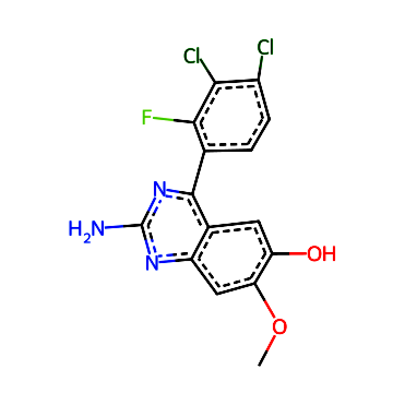 COc1cc2nc(N)nc(-c3ccc(Cl)c(Cl)c3F)c2cc1O